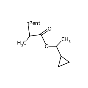 CCCCCC(C)C(=O)OC(C)C1CC1